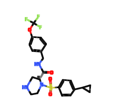 O=C(NCc1ccc(OC(F)(F)F)cc1)[C@H]1CNCCN1S(=O)(=O)c1ccc(C2CC2)cc1